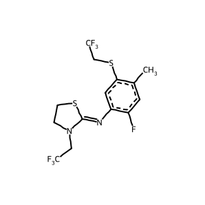 Cc1cc(F)c(/N=C2\SCCN2CC(F)(F)F)cc1SCC(F)(F)F